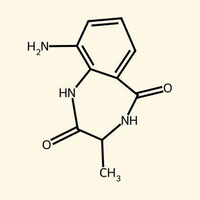 CC1NC(=O)c2cccc(N)c2NC1=O